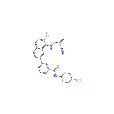 C=C(C#N)CNc1c(OC)ccc2ccc(-c3cccc(C(=O)NC4CCC(O)CC4)n3)cc12